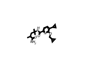 CC(CC(C)(C)NC(=O)c1ccc(C2CC2)c(OCC2CC2)n1)C(N)=O